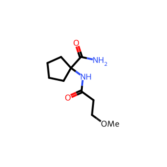 COCCC(=O)NC1(C(N)=O)CCCC1